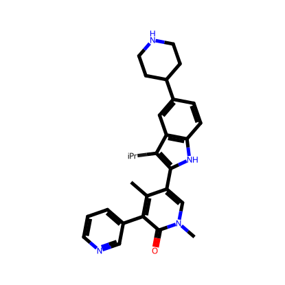 Cc1c(-c2[nH]c3ccc(C4CCNCC4)cc3c2C(C)C)cn(C)c(=O)c1-c1cccnc1